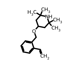 C=Cc1ccccc1COC1CC(C)(C)NC(C)(C)C1